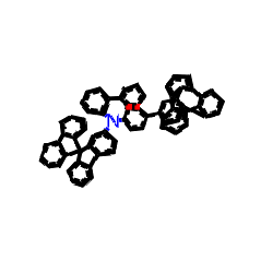 c1ccc(-c2ccccc2N(c2ccc(-c3ccc4c(c3)-c3c5cccc3-c3cccc-4c3-c3ccccc3-5)cc2)c2ccc3c(c2)C2(c4ccccc4-c4ccccc42)c2ccccc2-3)cc1